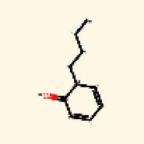 CCCCC1C=CC=[C]C1=O